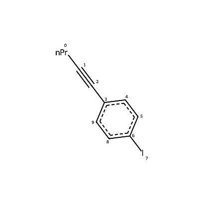 CCCC#Cc1ccc(I)cc1